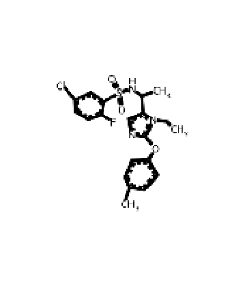 CCn1c(C(C)NS(=O)(=O)c2cc(Cl)ccc2F)cnc1Oc1ccc(C)cc1